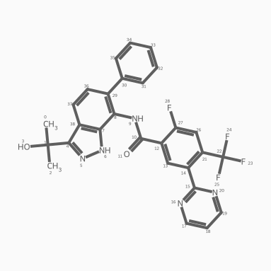 CC(C)(O)c1n[nH]c2c(NC(=O)c3cc(-c4ncccn4)c(C(F)(F)F)cc3F)c(-c3ccccc3)ccc12